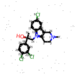 CN1CCc2c(c3cc(Cl)ccc3n2CC(C)(O)c2ccc(Cl)c(Cl)c2)C1